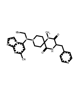 CN1C(=O)C(Cc2ccncc2)NC(=O)C12CCN(N(CC(C)(C)C)c1cc(C#N)nc3nccn13)CC2